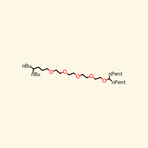 CCCCCC(CCCCC)OCCOCCOCCOCCOCCCC(CCCC)CCCC